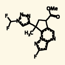 COC(=O)C1CC(C)(c2cn(C(F)F)nn2)c2c1cnc1cc(F)nn21